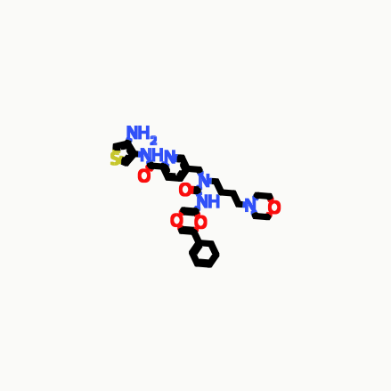 Nc1cscc1NC(=O)c1ccc(CN(CCCCN2CCOCC2)C(=O)NC2=COC=C(C3=CC=CCC3)O2)cn1